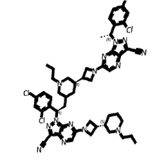 CCCN1CCC[C@@H](C2CN(c3cnc4c(C#N)nn([C@H](CC5C[C@H](C6CN(c7cnc8c(C#N)nn([C@H](C)c9ccc(Cl)cc9Cl)c8n7)C6)CN(CCC)C5)c5ccc(Cl)cc5Cl)c4n3)C2)C1